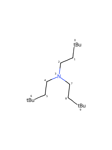 CC(C)(C)CCN(CCC(C)(C)C)CCC(C)(C)C